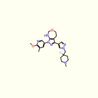 COc1ncc(-n2nc(-c3cnn(CC4(F)CCN(C)CC4)c3)c3c2NCOCC3)cc1C